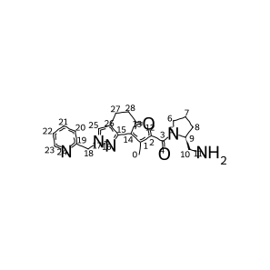 Cc1c(C(=O)N2CCC[C@H]2CN)oc2c1-c1nn(Cc3ccccn3)cc1CC2